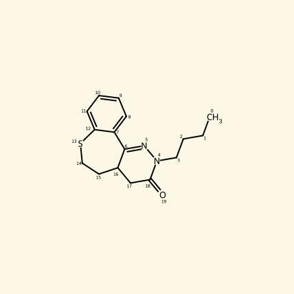 CCCCN1N=C2c3ccccc3SCCC2CC1=O